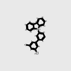 Clc1cc(I)cc(-c2cccc(-n3c4ccccc4c4ccccc43)c2)c1